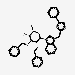 CC[C@H]1O[C@@H](c2cn(Cc3ncc(-c4ccccc4)s3)c3ccccc23)[C@H](OCc2ccccc2)[C@@H](OCc2ccccc2)[C@@H]1C